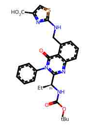 CC[C@H](NC(=O)OC(C)(C)C)c1nc2cccc(CNc3nc(C(=O)O)cs3)c2c(=O)n1-c1ccccc1